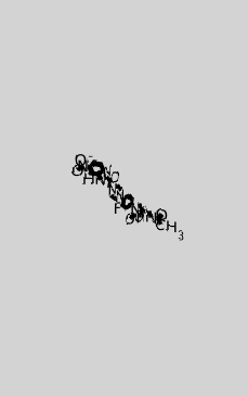 CC(=O)NC[C@H]1CN(c2ccc(N3CCN(CC(=O)c4nc5ccc([N+](=O)[O-])cc5[nH]4)CC3)c(F)c2)C(=O)O1